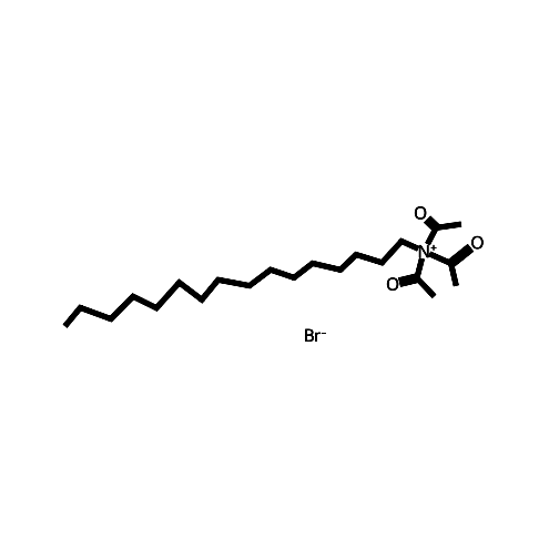 CCCCCCCCCCCCCCCC[N+](C(C)=O)(C(C)=O)C(C)=O.[Br-]